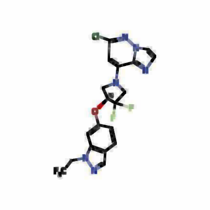 FC(F)(F)Cn1ncc2ccc(O[C@H]3CN(c4cc(Cl)nn5ccnc45)CC3(F)F)cc21